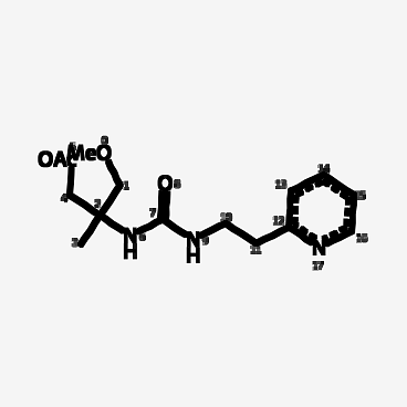 COCC(C)(COC(C)=O)NC(=O)NCCc1ccccn1